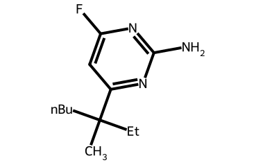 CCCCC(C)(CC)c1cc(F)nc(N)n1